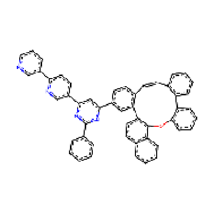 C1=C\c2ccc(-c3cc(-c4ccc(-c5cccnc5)nc4)nc(-c4ccccc4)n3)cc2-c2ccc3ccccc3c2Oc2ccccc2-c2ccccc2/1